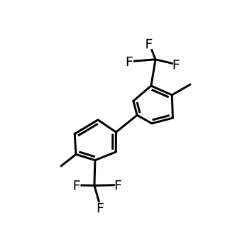 Cc1ccc(-c2ccc(C)c(C(F)(F)F)c2)cc1C(F)(F)F